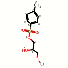 COCC(O)COS(=O)(=O)c1ccc(C)cc1